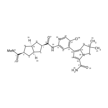 CNC(=O)[C@@H]1C[C@@H]2C[C@H](C(=O)Nc3cc(-c4cc(C(N)=O)n5c4CC(C)(C)C5)c(Cl)cn3)C[C@@H]2C1